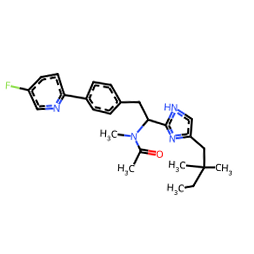 CCC(C)(C)Cc1c[nH]c(C(Cc2ccc(-c3ccc(F)cn3)cc2)N(C)C(C)=O)n1